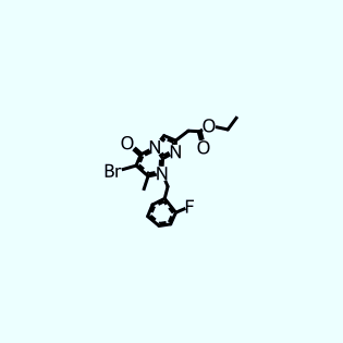 CCOC(=O)Cc1cn2c(=O)c(Br)c(C)n(Cc3ccccc3F)c2n1